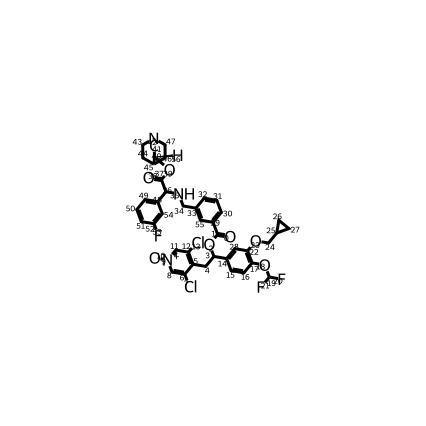 O=C(OC(Cc1c(Cl)c[n+]([O-])cc1Cl)c1ccc(OC(F)F)c(OCC2CC2)c1)c1cccc(CNC(C(=O)O[C@H]2CN3CCC2CC3)c2cccc(F)c2)c1